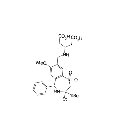 CCCCC1(CC)CS(=O)(=O)c2cc(CNC(CC(=O)O)CC(=O)O)c(OC)cc2C(c2ccccc2)N1